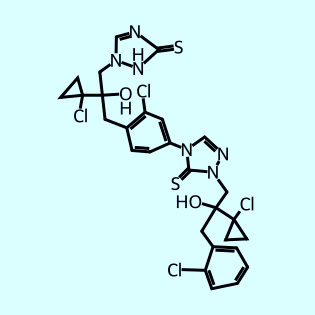 OC(Cc1ccc(-n2cnn(CC(O)(Cc3ccccc3Cl)C3(Cl)CC3)c2=S)cc1Cl)(Cn1cnc(=S)[nH]1)C1(Cl)CC1